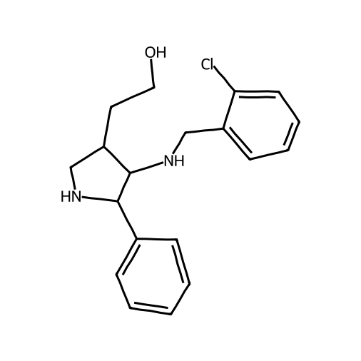 OCCC1CNC(c2ccccc2)C1NCc1ccccc1Cl